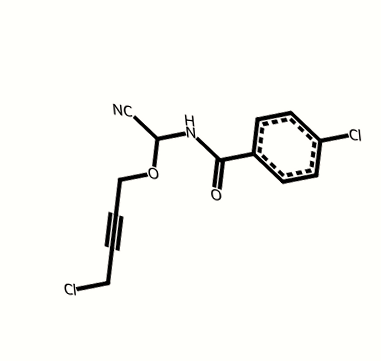 N#CC(NC(=O)c1ccc(Cl)cc1)OCC#CCCl